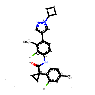 CCOC(=O)c1c(-c2cnn(C3CCC3)c2)ccc(NC(=O)C2(c3ccc(C(F)(F)F)cc3F)CC2)c1F